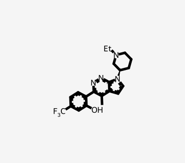 CCN1CCC[C@@H](n2ccc3c(C)c(-c4ccc(C(F)(F)F)cc4O)nnc32)C1